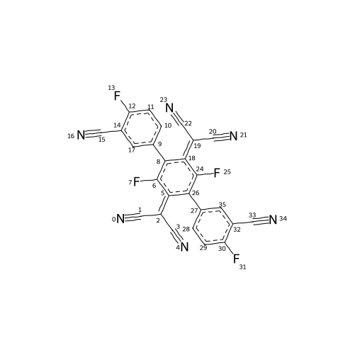 N#CC(C#N)=c1c(F)c(-c2ccc(F)c(C#N)c2)c(=C(C#N)C#N)c(F)c1-c1ccc(F)c(C#N)c1